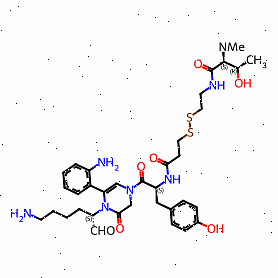 CN[C@H](C(=O)NCCSSCCC(=O)N[C@@H](Cc1ccc(O)cc1)C(=O)N1C=C(c2ccccc2N)N([C@H](C=O)CCCCN)C(=O)C1)[C@@H](C)O